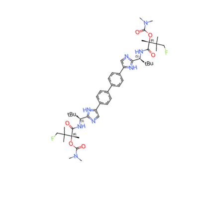 CN(C)C(=O)O[C@@](C)(C(=O)N[C@H](c1ncc(-c2ccc(-c3ccc(-c4cnc([C@@H](NC(=O)[C@](C)(OC(=O)N(C)C)C(C)(C)CF)C(C)(C)C)[nH]4)cc3)cc2)[nH]1)C(C)(C)C)C(C)(C)CF